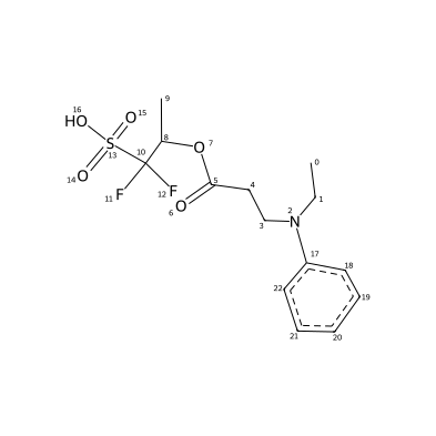 CCN(CCC(=O)OC(C)C(F)(F)S(=O)(=O)O)c1ccccc1